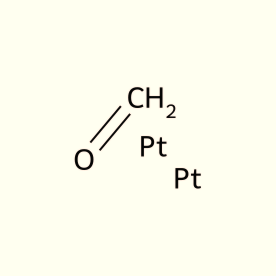 C=O.[Pt].[Pt]